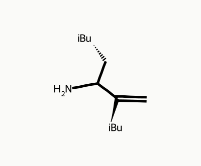 C=C(C(N)C[C@@H](C)CC)[C@H](C)CC